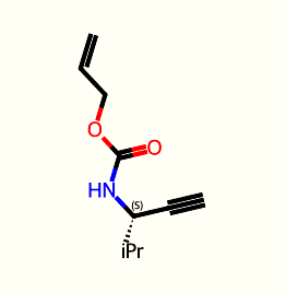 C#C[C@@H](NC(=O)OCC=C)C(C)C